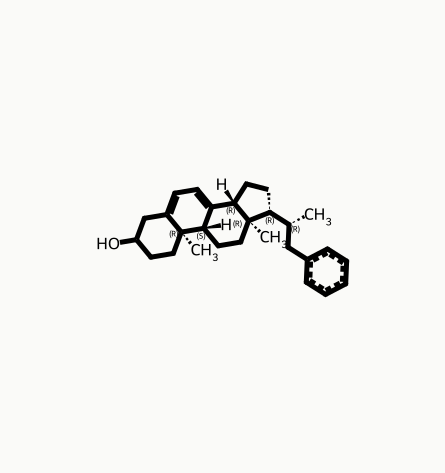 C[C@H](Cc1ccccc1)[C@H]1CC[C@H]2C3=CC=C4CC(O)CC[C@]4(C)[C@H]3CC[C@]12C